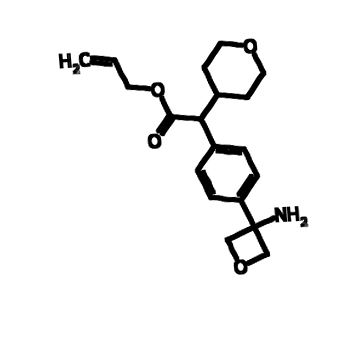 C=CCOC(=O)C(c1ccc(C2(N)COC2)cc1)C1CCOCC1